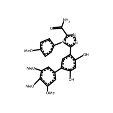 COc1ccc(-n2c(C(N)=O)nnc2-c2cc(-c3cc(OC)c(OC)c(OC)c3)c(O)cc2O)cc1